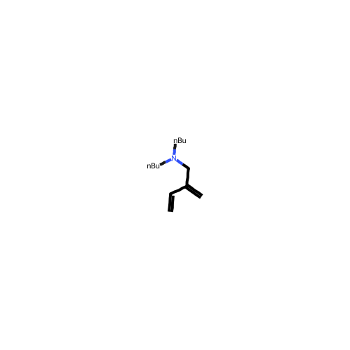 C=CC(=C)CN(CCCC)CCCC